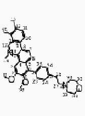 COc1cc2c(ccc3c4ccc(C)c(C)c4c[n+](C)c23)c(-c2ccc(CCN3CCOCC3)cc2)c1OC